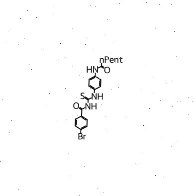 CCCCCC(=O)Nc1ccc(NC(=S)NC(=O)c2ccc(Br)cc2)cc1